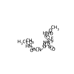 CCOC(=O)Nc1cc(C(F)(F)F)c(-c2nc(N3CCOCC3)c3cc(CN4CCN(C(=O)CNC(=O)C=C(C)C)CC4)cn3n2)cn1